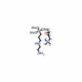 CO[Si](CCCNCCN)(OC)OC.C[N+](C)(C)CC1CO1.[Cl-]